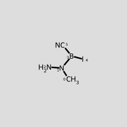 CN(N)B(I)C#N